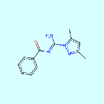 Cc1cc(C)n(/C(N)=N/C(=O)c2ccccc2)n1